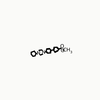 COC(=O)c1ccc(-c2ccc(N3CCN(C4CCCCC4)CC3)cc2)cc1